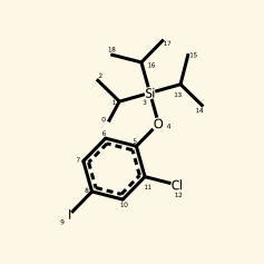 CC(C)[Si](Oc1ccc(I)cc1Cl)(C(C)C)C(C)C